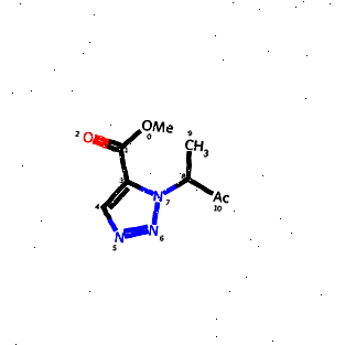 COC(=O)c1cnnn1C(C)C(C)=O